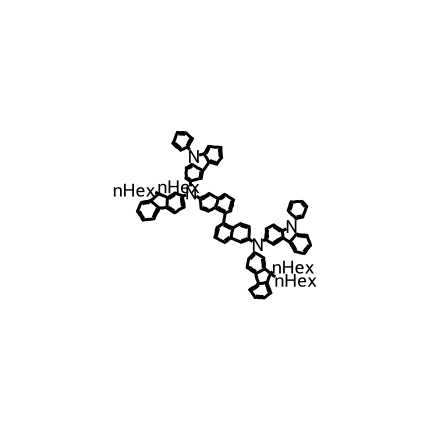 CCCCCCC1(CCCCCC)c2ccccc2-c2ccc(N(c3ccc4c(-c5cccc6cc(N(c7ccc8c(c7)C(CCCCCC)(CCCCCC)c7ccccc7-8)c7ccc8c(c7)c7ccccc7n8-c7ccccc7)ccc56)cccc4c3)c3ccc4c(c3)c3ccccc3n4-c3ccccc3)cc21